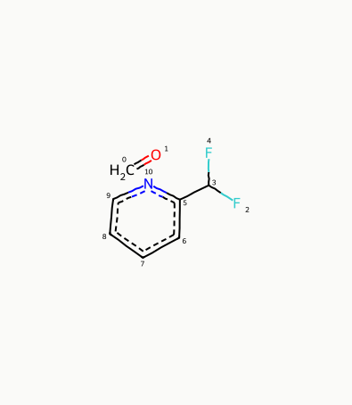 C=O.FC(F)c1ccccn1